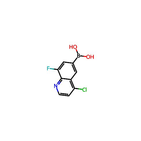 OB(O)c1cc(F)c2nccc(Cl)c2c1